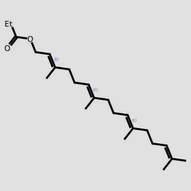 CCC(=O)OC/C=C(\C)CC/C=C(\C)CC/C=C(\C)CCC=C(C)C